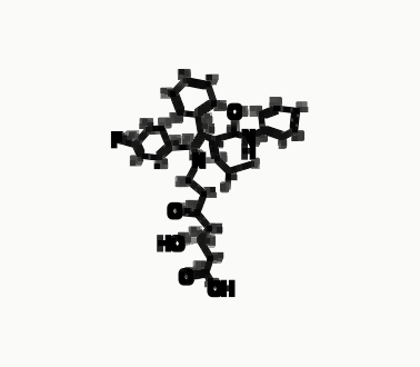 CC(C)c1c(C(=O)Nc2ccccc2)c(-c2ccccc2)c(-c2ccc(F)cc2)n1CCC(=O)C[C@@H](O)CC(=O)O